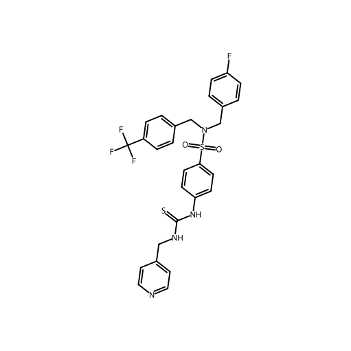 O=S(=O)(c1ccc(NC(=S)NCc2ccncc2)cc1)N(Cc1ccc(F)cc1)Cc1ccc(C(F)(F)F)cc1